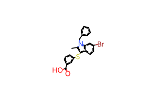 Cc1c(Sc2cccc(C(=O)O)c2)c2ccc(Br)cc2n1Cc1ccccc1